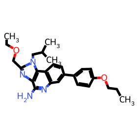 CCCOc1ccc(-c2ccc3c(c2)nc(N)c2nc(COCC)n(CC(C)C)c23)cc1